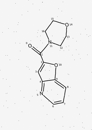 O=C(c1cc2ncccc2o1)N1CCOCC1